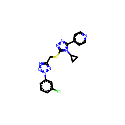 Clc1cccc(-n2nnc(CSc3nnc(-c4ccncc4)n3C3CC3)n2)c1